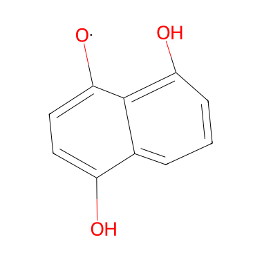 [O]c1ccc(O)c2cccc(O)c12